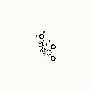 C[C@H](NC(=O)[C@H](O)c1cc(F)cc(F)c1)C(=O)N[C@@]1(C)C[C@@H](c2ccccc2)C[C@@H](c2ccccc2)NC1=O